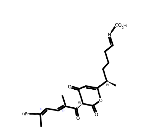 CCC/C(C)=C/C=C(\C)C(=O)[C@@H]1C(=O)C=C([C@H](C)CCCC=NC(=O)O)OC1=O